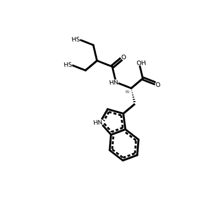 O=C(N[C@@H](Cc1c[nH]c2ccccc12)C(=O)O)C(CS)CS